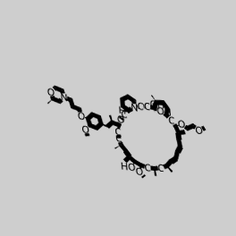 COCCO[C@H]1C[C@@H]2CC[C@@H](C)[C@@](O)(CCN3CCCC[C@H]3CO[C@H]([C@H](C)C[C@@H]3CC[C@@H](OCCCN4CCO[C@@H](C)C4)[C@H](OC)C3)CC[C@@H](C)/C=C(\C)[C@@H](O)[C@H](OC)C[C@H](C)C[C@H](C)/C=C/C=C/C=C/1C)O2